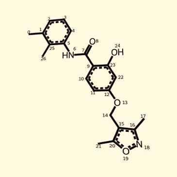 Cc1cccc(NC(=O)c2ccc(OCc3c(C)noc3C)cc2O)c1C